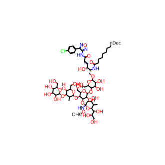 CCCCCCCCCCCCCCCCCC(=O)N[C@@H](COC1OC(CO)C(OC2OC(CO)C(OC3OC(CO)C(O)C(OC4OC(CO)C(O)C(O)C4O)C3C)C(OC3(NOC=O)CC(O)C(C)C([C@H](O)[C@H](O)CO)O3)C2O)C(O)C1O)[C@H](O)/C=C/C(=O)Nc1nonc1-c1ccc(Cl)cc1